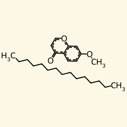 CCCCCCCCCCCCCCC.COc1ccc2c(=O)ccoc2c1